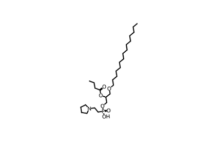 CCCCCCCCCCCCCCCOCC(COP(=O)(O)CCN1CCCC1)OC(=O)CCC